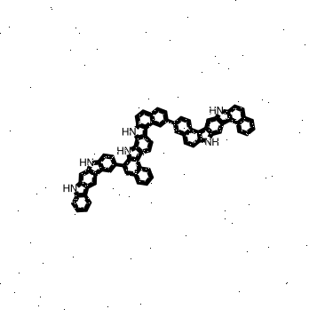 c1ccc2c(c1)ccc1[nH]c3cc4c(cc3c12)[nH]c1ccc2cc(-c3ccc5ccc6[nH]c7c(ccc8c7[nH]c7c(-c9ccc%10[nH]c%11cc%12[nH]c%13ccccc%13c%12cc%11c%10c9)cc9ccccc9c78)c6c5c3)ccc2c14